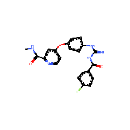 CNC(=O)c1cc(Oc2ccc(NC(=N)NC(=O)c3ccc(F)cc3)cc2)ccn1